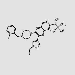 CC(C)(O)[C@@H](O)c1cc2nc(-c3cnn(CF)c3)c(N3CCN(Cc4ccccc4F)CC3)nc2cn1